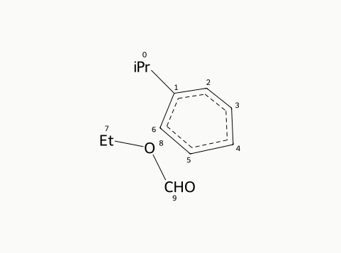 CC(C)c1ccccc1.CCOC=O